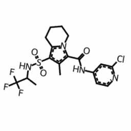 Cc1c(S(=O)(=O)NC(C)C(F)(F)F)c2n(c1C(=O)Nc1ccnc(Cl)c1)CCCC2